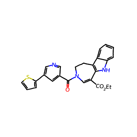 CCOC(=O)C1=CN(C(=O)c2cncc(-c3cccs3)c2)CCc2c1[nH]c1ccccc21